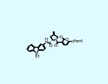 C=C1C[C@@H](C(=O)Nc2ccc3c(c2)c2ccccc2n3CC)N(C(=O)c2ccc(CCCCC)oc2=O)C1